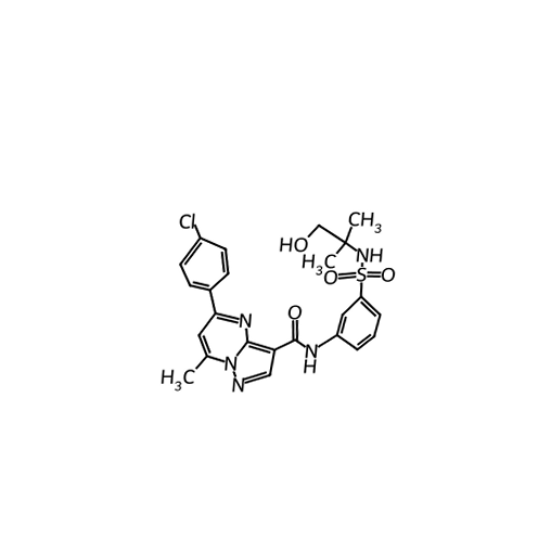 Cc1cc(-c2ccc(Cl)cc2)nc2c(C(=O)Nc3cccc(S(=O)(=O)NC(C)(C)CO)c3)cnn12